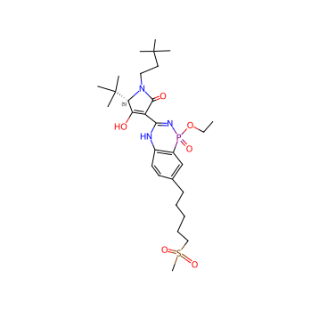 CCOP1(=O)N=C(C2=C(O)[C@H](C(C)(C)C)N(CCC(C)(C)C)C2=O)Nc2ccc(CCCCCS(C)(=O)=O)cc21